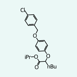 CCCCC(Oc1ccc(OCc2ccc(Cl)cc2)cc1)C(=O)OC(C)C